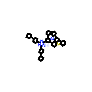 c1ccc(-c2ccc(C3=NC(c4ccc(-c5ccccc5)cc4)NC(c4cc(-c5ccccc5)c(-n5c6ccccc6c6cc7c(cc65)sc5ccccc57)c(-c5ccccc5)c4)=N3)cc2)cc1